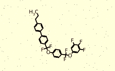 CCCc1ccc(-c2ccc(C(F)(F)Oc3ccc(C(F)(F)Oc4cc(F)c(F)c(F)c4)cc3)cc2)cc1